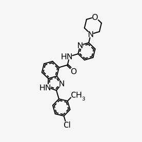 Cc1cc(Cl)ccc1-c1nc2c(C(=O)Nc3cccc(N4CCOCC4)n3)cccc2[nH]1